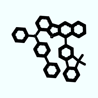 CC1(C)c2ccccc2-c2ccc(-c3c4ccccc4cc4c3oc3c(N(c5ccccc5)c5ccc(-c6ccccc6)cc5)cccc34)cc21